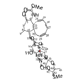 COC(=O)NC1C(=O)CC(C)/C(=C/CSSC2CCN(C=O)CC2)C2=C1C#C/C=C\C#C[C@@H]2OC1CC(O)[C@H](NOC2CC[C@H](SC)C(C)O2)C(C)O1